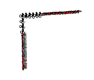 CCC(=O)[O-].CCC(=O)[O-].CCC(=O)[O-].CCC(=O)[O-].CCC(=O)[O-].CCC(=O)[O-].CCC(=O)[O-].CCC(=O)[O-].CCC(=O)[O-].[V+5].[V+5].[V+5].[V+5].[V+5].[V+5].[V+5].[V+5].[V+5].[V+5].[V+5].[V+5].[V+5].[V+5].[V+5].[V+5].[V+5].[V+5].[V+5].[V+5].[V+5].[V+5].[V+5].[V+5].[V+5].[V+5].[V+5].[V+5].[V+5].[V+5].[V+5].[V+5].[V+5].[V+5].[V+5].[V+5].[V+5].[V+5].[V+5].[V+5].[V+5].[V+5].[V+5].[V+5].[V+5].[V+5].[V+5].[V+5].[V+5].[V+5].[V+5].[V+5].[V+5].[V+5].[V+5].[V+5].[V+5].[V+5].[V+5].[V+5].[V+5].[V+5].[V+5].[V+5].[V+5].[V+5].[V+5].[V+5].[V+5]